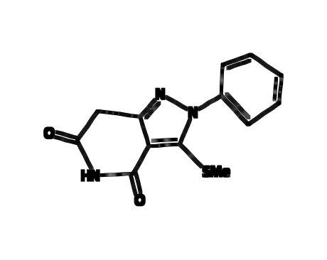 CSc1c2c(nn1-c1ccccc1)CC(=O)NC2=O